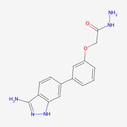 NNC(=O)COc1cccc(-c2ccc3c(N)n[nH]c3c2)c1